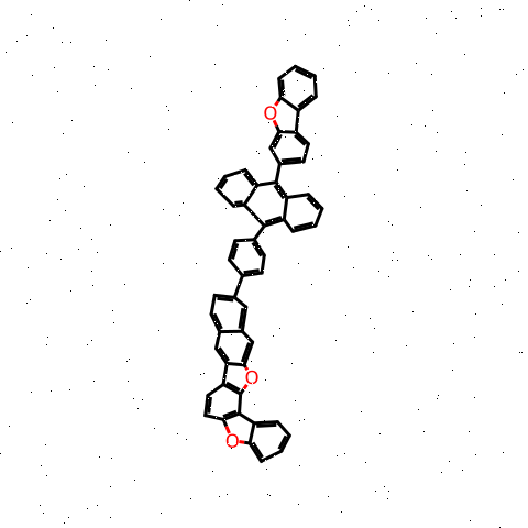 c1ccc2c(c1)oc1cc(-c3c4ccccc4c(-c4ccc(-c5ccc6cc7c(cc6c5)oc5c7ccc6oc7ccccc7c65)cc4)c4ccccc34)ccc12